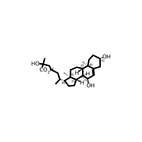 CC(CCCC(C)(O)C(=O)O)[C@H]1CC[C@H]2[C@@H]3[C@H](O)C=C4C[C@@H](O)CC[C@]4(C)[C@H]3CC[C@]12C